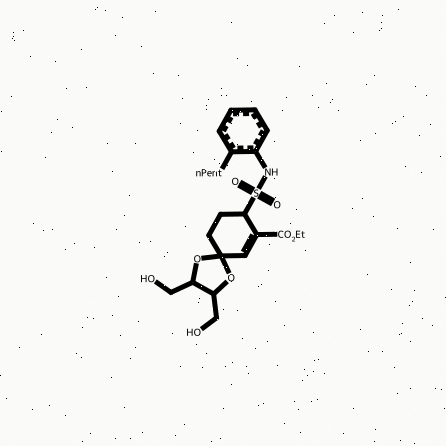 CCCCCc1ccccc1NS(=O)(=O)C1CCC2(C=C1C(=O)OCC)OC(CO)C(CO)O2